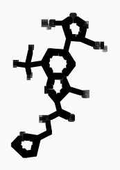 Cc1noc(C)c1-c1cc(C(F)(F)F)c2nc(C(=O)NCc3cccs3)c(Cl)n2c1